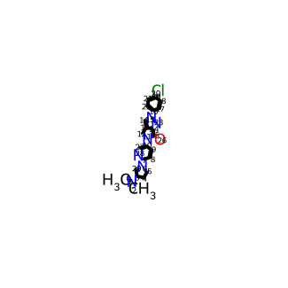 CN(C)C1CCN(c2ccc(N3Cc4cn(-c5ccc(Cl)cc5)nc4C3=O)cn2)C1